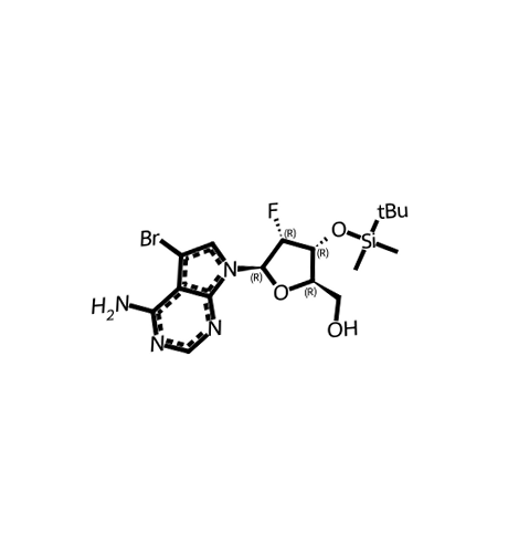 CC(C)(C)[Si](C)(C)O[C@H]1[C@@H](F)[C@H](n2cc(Br)c3c(N)ncnc32)O[C@@H]1CO